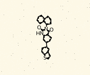 O=c1[nH]c2cc(-c3ccc4sccc4c3)ccc2c(=O)n1-c1cccc2ccccc12